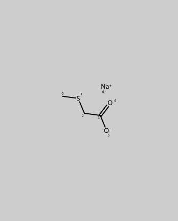 CSCC(=O)[O-].[Na+]